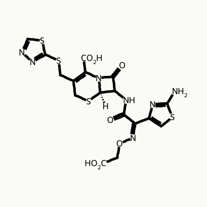 Nc1nc(/C(=N/OCC(=O)O)C(=O)NC2C(=O)N3C(C(=O)O)=C(CSc4nncs4)CS[C@H]23)cs1